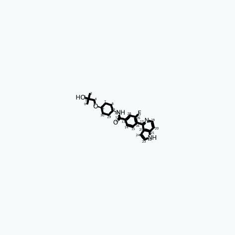 CC(C)(O)CO[C@H]1CC[C@H](NC(=O)c2ccc(-c3nccc4[nH]ccc34)c(F)c2)CC1